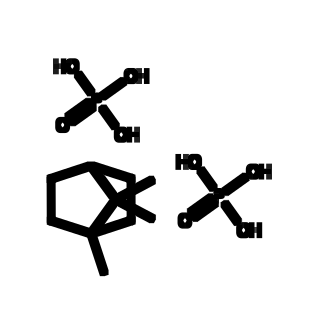 CC12CCC(CC1)C2(C)C.O=P(O)(O)O.O=P(O)(O)O